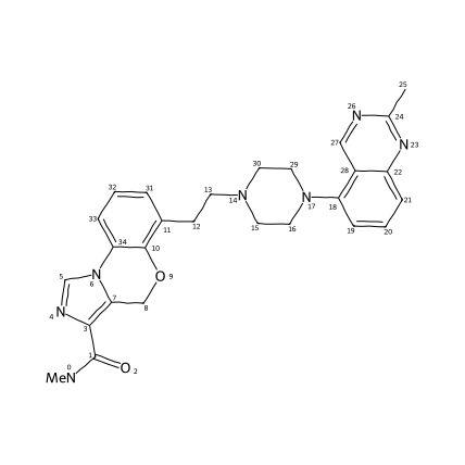 CNC(=O)c1ncn2c1COc1c(CCN3CCN(c4cccc5nc(C)ncc45)CC3)cccc1-2